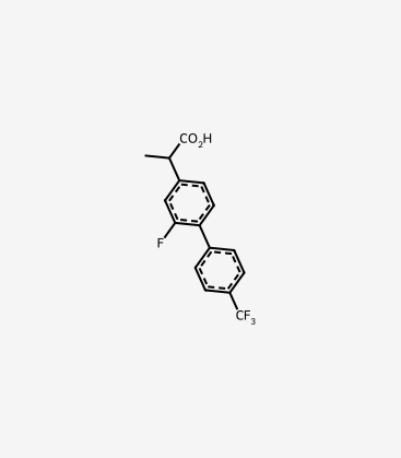 CC(C(=O)O)c1ccc(-c2ccc(C(F)(F)F)cc2)c(F)c1